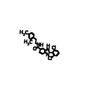 Cc1ccc(CCNC(=O)c2ccc3nc(-c4c(Cl)cccc4Cl)[nH]c3c2)c(C)c1